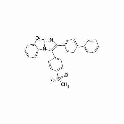 CS(=O)(=O)c1ccc(-c2c(-c3ccc(-c4ccccc4)cc3)nc3oc4ccccc4n23)cc1